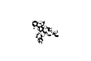 C=CC(=O)N1CCN2C(=O)c3c(N4Cc5cnnn5C[C@@H]4C)nc(-c4c(O)cccc4F)c(Cl)c3OC[C@H]2C1